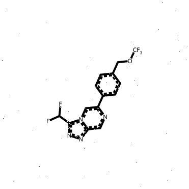 FC(F)c1nnc2cnc(-c3ccc(COC(F)(F)F)cc3)cn12